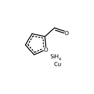 O=Cc1ccco1.[Cu].[SiH4]